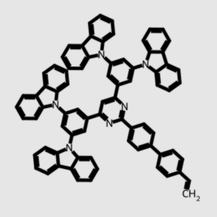 C=Cc1ccc(-c2ccc(-c3nc(-c4cc(-n5c6ccccc6c6ccccc65)cc(-n5c6ccccc6c6ccccc65)c4)cc(-c4cc(-n5c6ccccc6c6ccccc65)cc(-n5c6ccccc6c6ccccc65)c4)n3)cc2)cc1